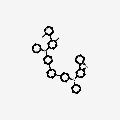 Cc1ccccc1-c1cc(N(c2ccccc2)c2ccc(-c3cccc(-c4ccc(N(c5ccccc5)c5ccc6sc7ccccc7c6c5)cc4)c3)cc2)ccc1C